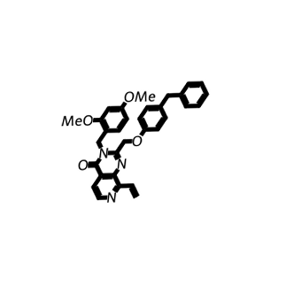 C=Cc1nccc2c(=O)n(Cc3ccc(OC)cc3OC)c(COc3ccc(Cc4ccccc4)cc3)nc12